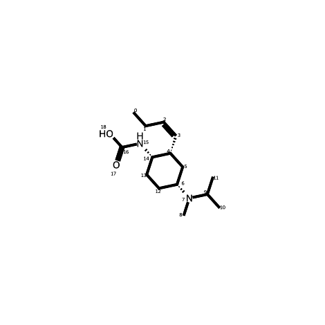 CC/C=C\[C@@H]1C[C@H](N(C)C(C)C)CC[C@@H]1NC(=O)O